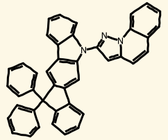 c1ccc(C2(c3ccccc3)c3ccccc3-c3cc4c(cc32)c2ccccc2n4-c2cc3ccc4ccccc4n3n2)cc1